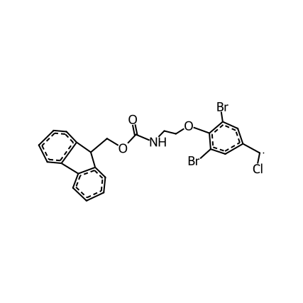 O=C(NCCOc1c(Br)cc([CH]Cl)cc1Br)OCC1c2ccccc2-c2ccccc21